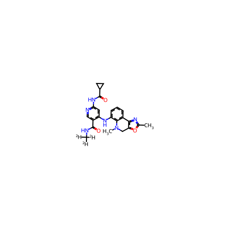 [2H]C([2H])([2H])NC(=O)c1cnc(NC(=O)C2CC2)cc1Nc1cccc2c1N(C)Cc1oc(C)nc1-2